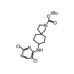 CC(C)(C)OC(=O)N1CCC2(CCC(Nc3nc(Cl)ncc3Cl)CC2)C1